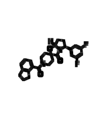 O=C(c1cccc2c1CCC2)N1CCC2(CC1)O[C@@H]1CC[C@@H](c3cc(F)cc(F)c3)N1C2=O